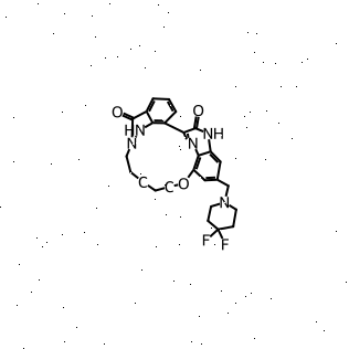 O=c1[nH]c2cc(CN3CCC(F)(F)CC3)cc3c2nc1-c1cccc2c(=O)n([nH]c12)CCCCCO3